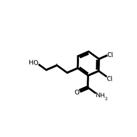 NC(=O)c1c(C[CH]CO)ccc(Cl)c1Cl